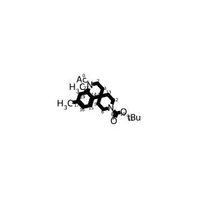 CC(=O)N1CCC2(CCN(C(=O)OC(C)(C)C)CC2)C2=CC=C(C)CC21C